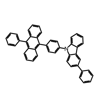 c1ccc(-c2ccc3c(c2)c2ccccc2n3-c2ccc(-c3c4ccccc4c(-c4ccccc4)c4ccccc34)cc2)cc1